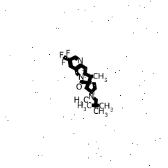 CC1C2Cc3ncc(C(F)(F)F)cc3CN2C(=O)[C@]12CC[C@@H](N(C)CC(C)(C)C)C2